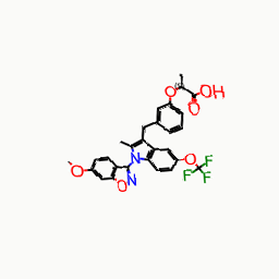 COc1ccc2c(-n3c(C)c(Cc4cccc(O[C@@H](C)C(=O)O)c4)c4cc(OC(F)(F)F)ccc43)noc2c1